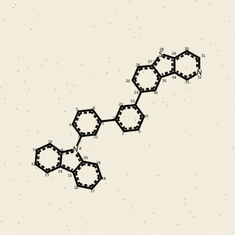 c1cc(-c2cccc(-n3c4ccccc4c4ccccc43)c2)cc(-c2ccc3sc4ccncc4c3c2)c1